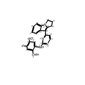 COc1cc(F)c([N+](=O)[O-])cc1Nc1nccc(-c2c3n(c4ccccc24)CCC3)n1